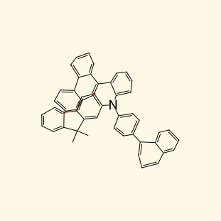 CC1(C)c2ccccc2-c2ccc(N(c3ccc(-c4cccc5ccccc45)cc3)c3ccccc3-c3cc4ccccc4c4ccccc34)cc21